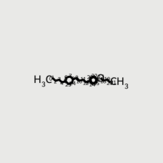 CCCCCC1CCC(C=CCCc2ccc(OCCCC)cc2)CC1